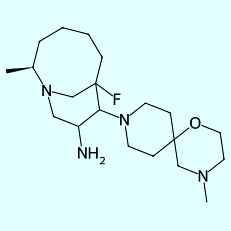 C[C@H]1CCCCC2(F)CN1CC(N)C2N1CCC2(CC1)CN(C)CCO2